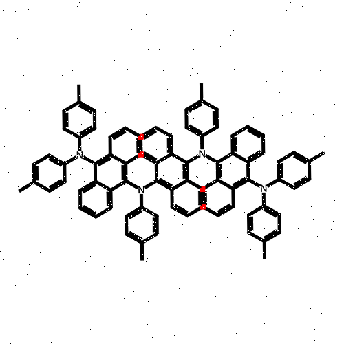 Cc1ccc(N(c2ccc(C)cc2)c2c3ccccc3c(N(c3ccc(C)cc3)c3c4ccccc4c(N(c4ccc(C)cc4)c4c5ccccc5c(N(c5ccc(C)cc5)c5ccc(C)cc5)c5ccccc45)c4ccccc34)c3ccccc23)cc1